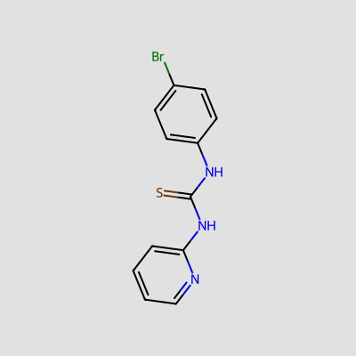 S=C(Nc1ccc(Br)cc1)Nc1ccccn1